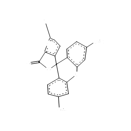 CC(=O)Oc1ccc2c(c1)Oc1cc(OC(C)=O)ccc1C21OC(=O)c2cc(S)ccc21